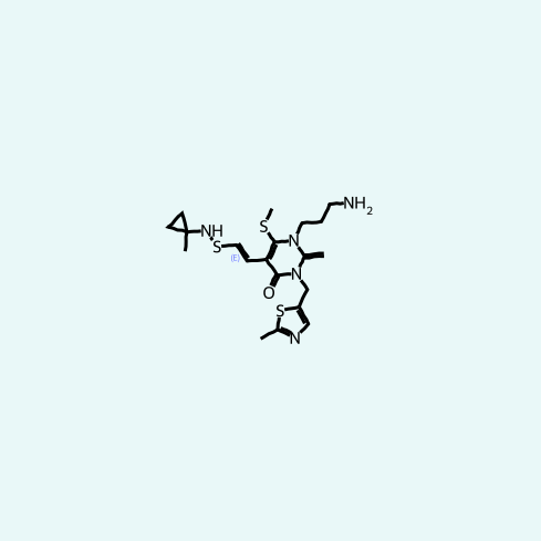 C=C1N(Cc2cnc(C)s2)C(=O)C(/C=C/SNC2(C)CC2)=C(SC)N1CCCN